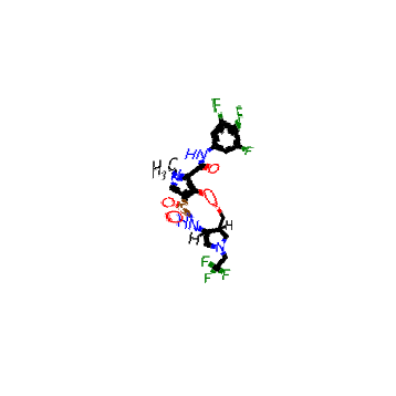 Cn1cc2c(c1C(=O)Nc1cc(F)c(F)c(F)c1)OC[C@@H]1CN(CC(F)(F)F)C[C@@H]1NS2(=O)=O